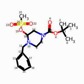 CC(C)(C)OC(=O)N1CCN(Cc2ccccc2)C(OS(C)(=O)=O)C1